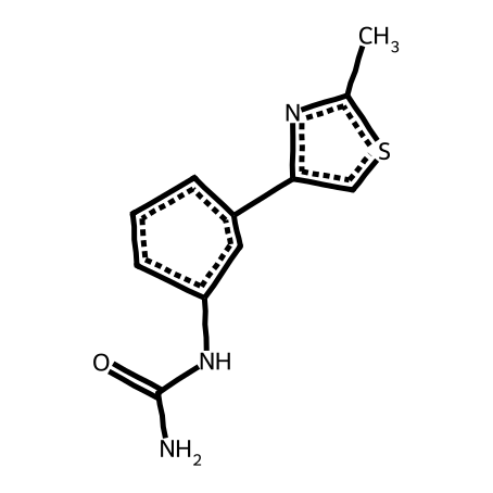 Cc1nc(-c2cccc(NC(N)=O)c2)cs1